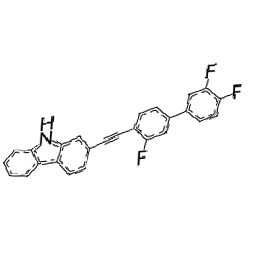 Fc1ccc(-c2ccc(C#Cc3ccc4c(c3)[nH]c3ccccc34)c(F)c2)cc1F